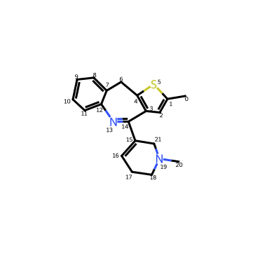 Cc1cc2c(s1)Cc1ccccc1N=C2C1=CCCN(C)C1